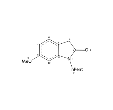 CCCCCN1C(=O)Cc2ccc(OC)cc21